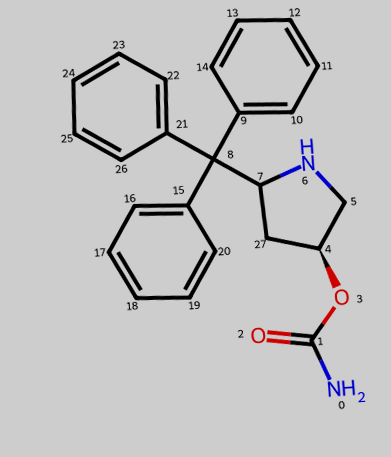 NC(=O)O[C@@H]1CNC(C(c2ccccc2)(c2ccccc2)c2ccccc2)C1